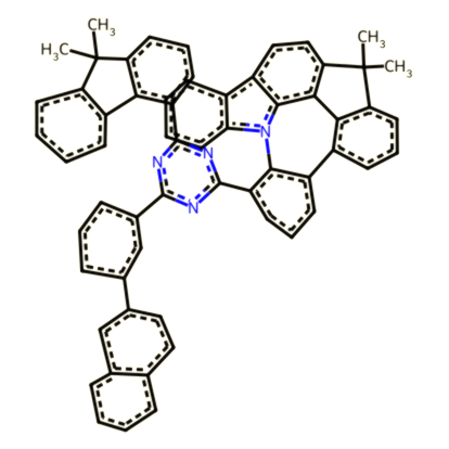 CC1(C)c2ccccc2-c2c(-c3nc(-c4cccc(-c5ccc6ccccc6c5)c4)nc(-c4cccc5c4-n4c6ccccc6c6ccc7c(c64)-c4c-5cccc4C7(C)C)n3)cccc21